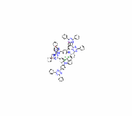 FC(F)(F)c1c(-c2ccc(-c3nc(-c4ccccc4)nc(-c4ccccc4)n3)c(-n3c4ccc(-c5nc(-c6ccccc6)nc(-c6ccccc6)n5)cc4c4cc(-c5nc(-c6ccccc6)nc(-c6ccccc6)n5)ccc43)c2)cccc1-n1c2ccc(-c3nc(-c4ccccc4)nc(-c4ccccc4)n3)cc2c2cc(-c3nc(-c4ccccc4)nc(-c4ccccc4)n3)ccc21